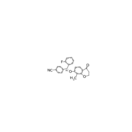 Cc1c(O[C@H](c2ccc(C#N)cc2)c2ccccc2F)ccc2c1OCCC2=O